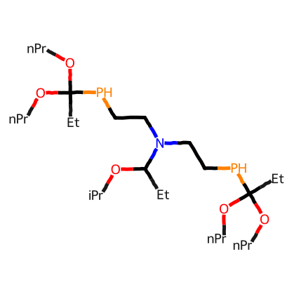 CCCOC(CC)(OCCC)PCCN(CCPC(CC)(OCCC)OCCC)C(CC)OC(C)C